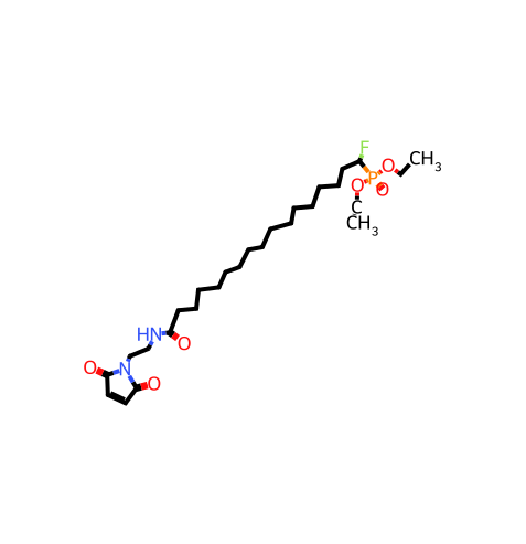 CCOP(=O)(OCC)C(F)CCCCCCCCCCCCCCCC(=O)NCCN1C(=O)C=CC1=O